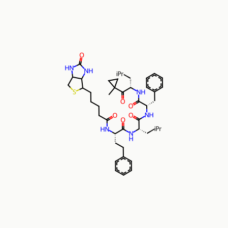 CC(C)C[C@H](NC(=O)[C@H](CCc1ccccc1)NC(=O)CCCCC1SCC2NC(=O)NC21)C(=O)N[C@@H](Cc1ccccc1)C(=O)N[C@@H](CC(C)C)C(=O)C1(C)CC1